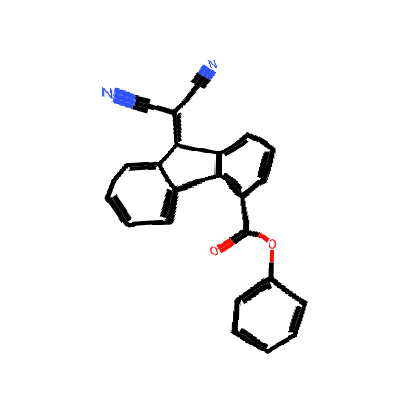 N#CC(C#N)=C1c2ccccc2-c2c(C(=O)Oc3ccccc3)cccc21